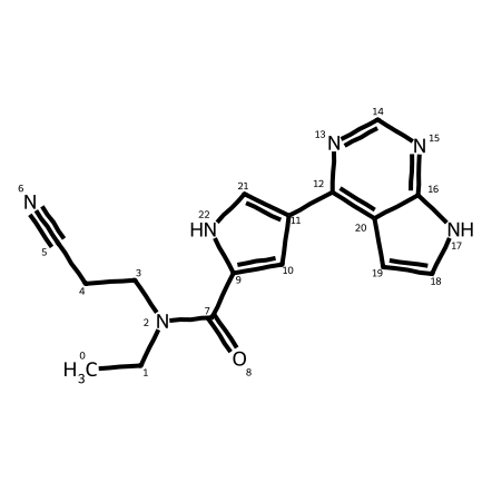 CCN(CCC#N)C(=O)c1cc(-c2ncnc3[nH]ccc23)c[nH]1